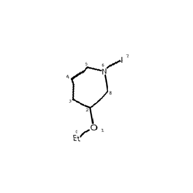 CCOC1CCCN(I)C1